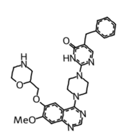 COc1cc2ncnc(N3CCN(c4ncc(Cc5ccccc5)c(=O)[nH]4)CC3)c2cc1OCC1CNCCO1